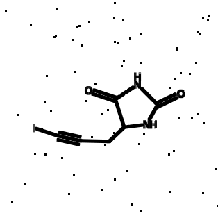 O=C1NC(=O)C(CC#CI)N1